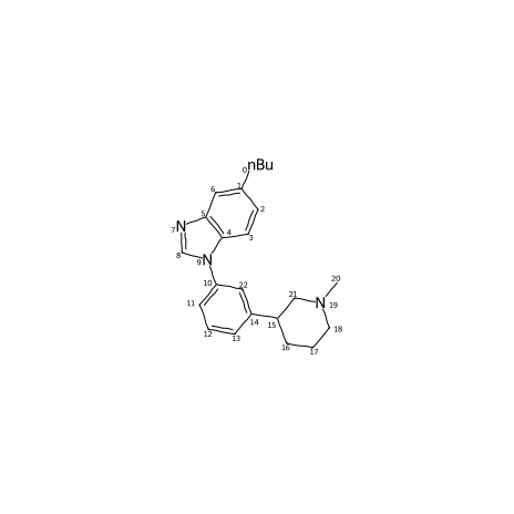 CCCCc1ccc2c(c1)ncn2-c1cccc(C2CCCN(C)C2)c1